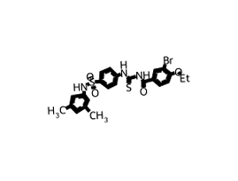 CCOc1ccc(C(=O)NC(=S)Nc2ccc(S(=O)(=O)Nc3cc(C)cc(C)c3)cc2)cc1Br